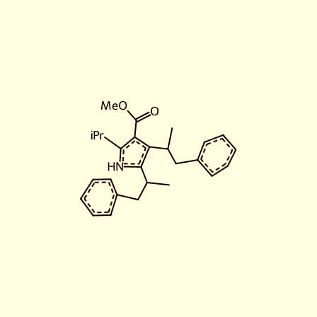 COC(=O)c1c(C(C)C)[nH]c(C(C)Cc2ccccc2)c1C(C)Cc1ccccc1